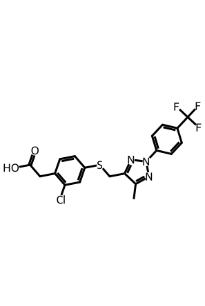 Cc1nn(-c2ccc(C(F)(F)F)cc2)nc1CSc1ccc(CC(=O)O)c(Cl)c1